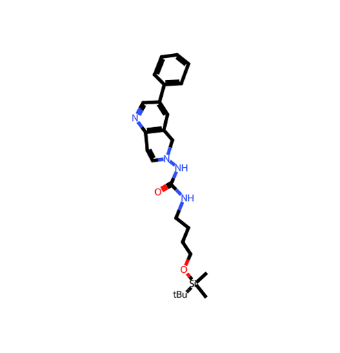 CC(C)(C)[Si](C)(C)OCCCCNC(=O)NN1C=Cc2ncc(-c3ccccc3)cc2C1